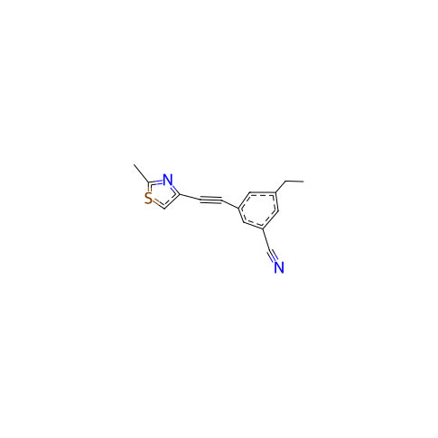 CCc1cc(C#N)cc(C#Cc2csc(C)n2)c1